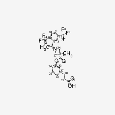 CC(c1cc(C(F)(F)F)ccc1C(F)(F)F)N1CC(C)(C(=O)Oc2cccc(CCC(=O)O)c2)C1